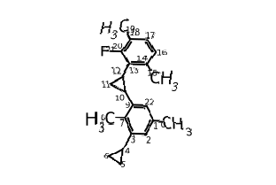 Cc1cc(C2CC2)c(C)c(C2CC2c2c(C)ccc(C)c2F)c1